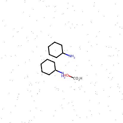 NC1CCCCC1.NC1CCCCC1.O=C(O)O